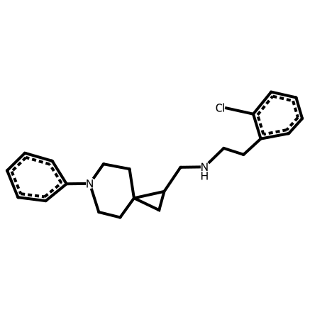 Clc1ccccc1CCNCC1CC12CCN(c1ccccc1)CC2